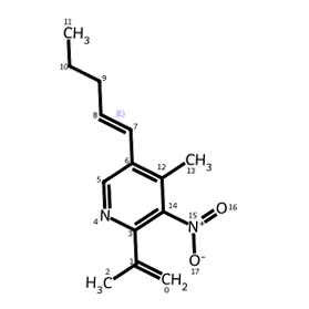 C=C(C)c1ncc(/C=C/CCC)c(C)c1[N+](=O)[O-]